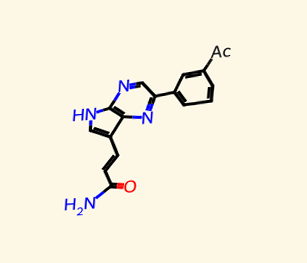 CC(=O)c1cccc(-c2cnc3[nH]cc(/C=C/C(N)=O)c3n2)c1